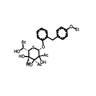 CCOc1ccc(Cc2ccccc2O[C@H]2S[C@@H](C(O)C(C)=O)[C@](O)(C(C)=O)[C@@](O)(C(C)=O)[C@]2(O)C(C)=O)cc1